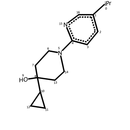 CC(C)c1ccc(N2CCC(O)(C3CC3)CC2)nc1